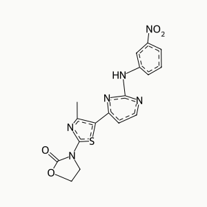 Cc1nc(N2CCOC2=O)sc1-c1ccnc(Nc2cccc([N+](=O)[O-])c2)n1